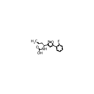 C=CC[C@H](NC(=O)O)c1cc(-c2ccccc2F)on1